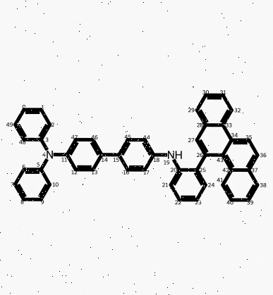 c1ccc(N(c2ccccc2)c2ccc(-c3ccc(Nc4ccccc4-c4cc5ccccc5c5ccc6ccccc6c45)cc3)cc2)cc1